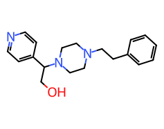 OCC(c1ccncc1)N1CCN(CCc2ccccc2)CC1